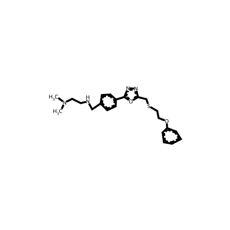 CN(C)CCNCc1ccc(-c2nnc(CSCCOc3ccccc3)o2)cc1